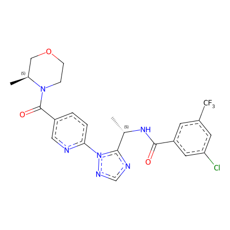 C[C@H](NC(=O)c1cc(Cl)cc(C(F)(F)F)c1)c1ncnn1-c1ccc(C(=O)N2CCOC[C@@H]2C)cn1